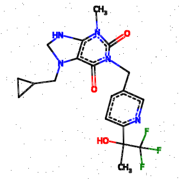 Cn1c2c(c(=O)n(Cc3ccc(C(C)(O)C(F)(F)F)nc3)c1=O)N(CC1CC1)CN2